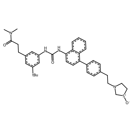 CN(C)C(=O)CCc1cc(NC(=O)Nc2ccc(-c3ccc(CCN4CC[S+]([O-])C4)cc3)c3ccccc23)cc(C(C)(C)C)c1